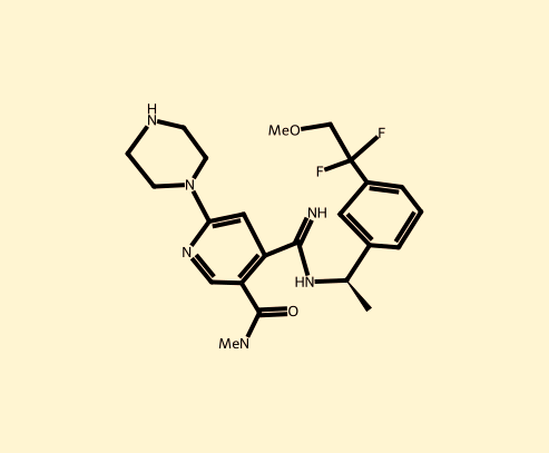 CNC(=O)c1cnc(N2CCNCC2)cc1C(=N)N[C@H](C)c1cccc(C(F)(F)COC)c1